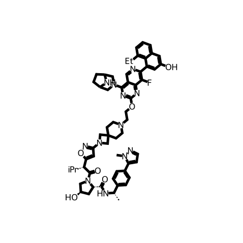 CCc1cccc2cc(O)cc(-c3ncc4c(N5CC6CCC(C5)N6)nc(OCCN5CCC6(CC5)CN(c5cc([C@H](C(=O)N7C[C@H](O)C[C@H]7C(=O)N[C@@H](C)c7ccc(-c8ccnn8C)cc7)C(C)C)on5)C6)nc4c3F)c12